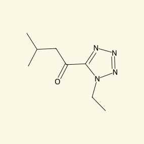 CCn1nnnc1C(=O)CC(C)C